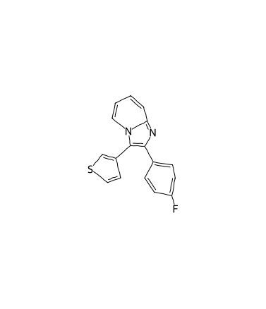 Fc1ccc(-c2nc3ccccn3c2-c2ccsc2)cc1